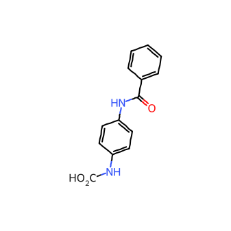 O=C(O)Nc1ccc(NC(=O)c2ccccc2)cc1